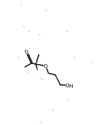 CC(=O)C(C)(C)OCCCO